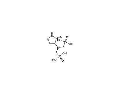 O=C1NOCC1N(CP(=O)(O)O)CP(=O)(O)O